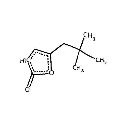 CC(C)(C)Cc1c[nH]c(=O)o1